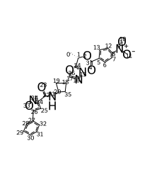 C[C@H](OC(=O)c1ccc([N+](=O)[O-])cc1)c1nnc([C@H]2C[C@H](NC(=O)c3cc(-c4ccccc4)on3)C2)o1